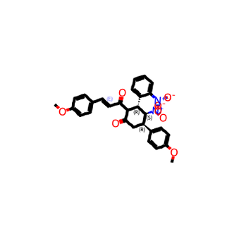 COc1ccc(/C=C/C(=O)C2C(=O)C[C@H](c3ccc(OC)cc3)[C@H]([N+](=O)[O-])[C@H]2c2ccccc2[N+](=O)[O-])cc1